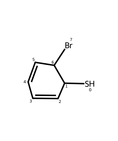 SC1C=CC=CC1Br